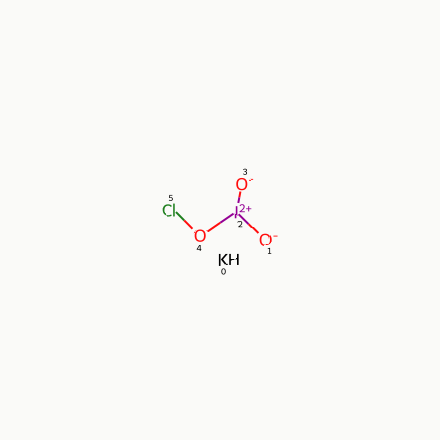 [KH].[O-][I+2]([O-])OCl